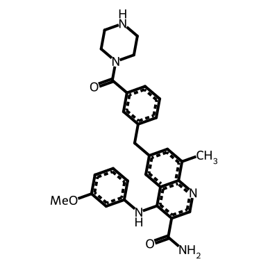 COc1cccc(Nc2c(C(N)=O)cnc3c(C)cc(Cc4cccc(C(=O)N5CCNCC5)c4)cc23)c1